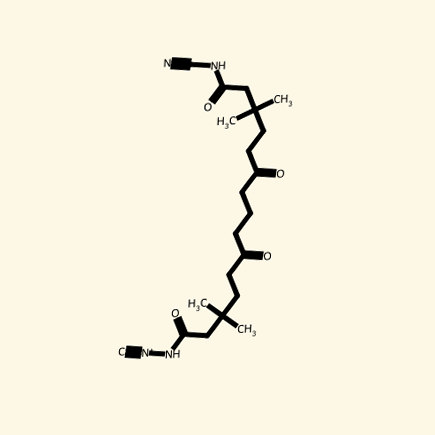 [C-]#[N+]NC(=O)CC(C)(C)CCC(=O)CCCC(=O)CCC(C)(C)CC(=O)NC#N